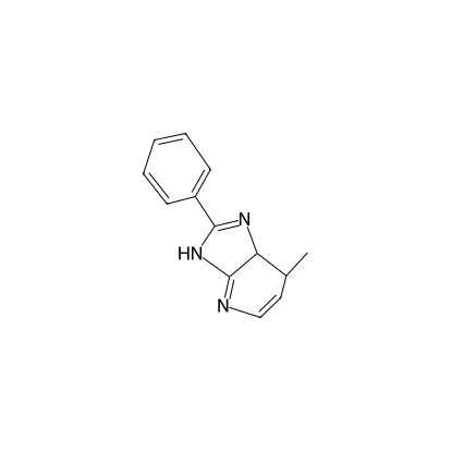 CC1C=CN=C2NC(c3ccccc3)=NC21